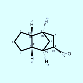 O=C[C@@H]1C[C@H]2C[C@@H]1[C@@H]1CCC[C@H]21